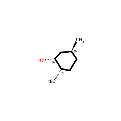 C[C@H]1CC[C@H](C(C)(C)C)[C@H](O)C1